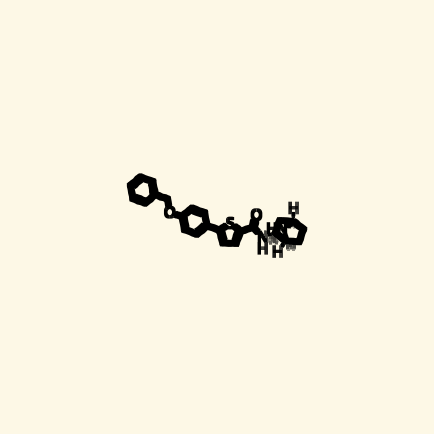 O=C(N[C@@H]1C[C@H]2CC[C@@H]1N2)c1ccc(-c2ccc(OCc3ccccc3)cc2)s1